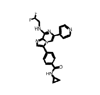 O=C(NC1CC1)c1ccc(-c2cnc3c(NCC(F)F)nc(-c4ccncc4)cn23)cc1